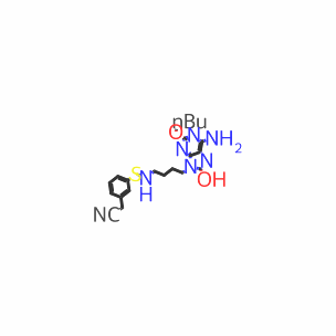 CCCCOc1nc(N)c2nc(O)n(CCCCNSc3cccc(CC#N)c3)c2n1